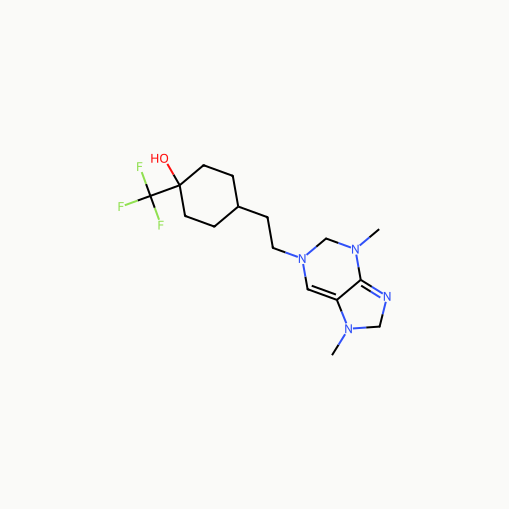 CN1CN=C2C1=CN(CCC1CCC(O)(C(F)(F)F)CC1)CN2C